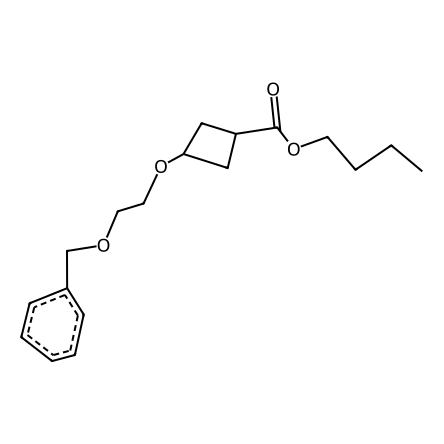 CCCCOC(=O)C1CC(OCCOCc2ccccc2)C1